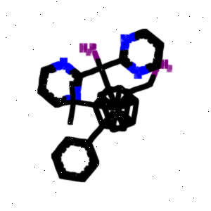 CC(C)(C)[C]12[C]3(c4ccccc4)[CH]4[C]5(CP)[C]1(C(P)(c1ncccn1)c1ncccn1)[Fe]45321678[CH]2[CH]1[CH]6[CH]7[CH]28